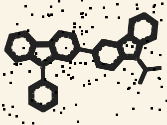 CC(C)n1c2ccccc2c2cc(-c3ccc4c5ccccc5n(-c5ccccc5)c4c3)ccc21